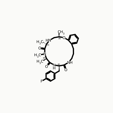 C[C@@H]1CN[C@@H](C)C(=O)N(C)[C@H](C)C(=O)N[C@H](Cc2ccc(F)cc2)C(=O)NCCCc2ccccc2O1